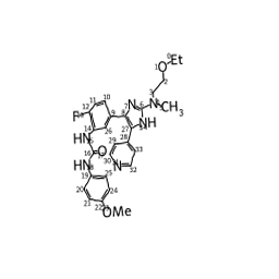 CCOCCN(C)c1nc(-c2ccc(F)c(NC(=O)Nc3ccc(OC)cc3)c2)c(-c2ccncc2)[nH]1